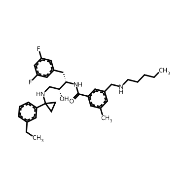 CCCCCNCc1cc(C)cc(C(=O)N[C@@H](Cc2cc(F)cc(F)c2)[C@H](O)CNC2(c3cccc(CC)c3)CC2)c1